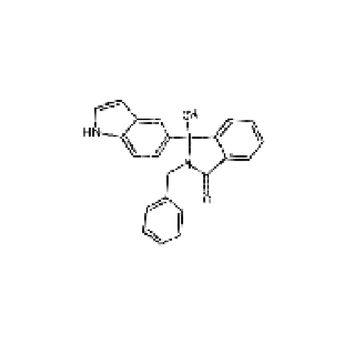 O=C1c2ccccc2C(O)(c2ccc3[nH]ccc3c2)N1Cc1ccccc1